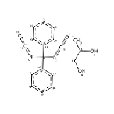 CC(O)CO.O=C=NC(N=C=O)(c1ccccc1)c1ccccc1